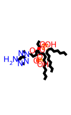 CCCCCCCC(CCCCCC)P(=O)(O)OC[C@H]1O[C@@H](n2cnc3c(N)ncnc32)C[C@@H]1OP(=O)(O)C(CCCCCC)CCCCCCC